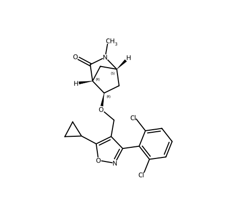 CN1C(=O)[C@@H]2C[C@H]1C[C@H]2OCc1c(-c2c(Cl)cccc2Cl)noc1C1CC1